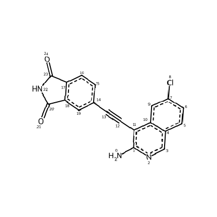 Nc1ncc2ccc(Cl)cc2c1C#Cc1ccc2c(c1)C(=O)NC2=O